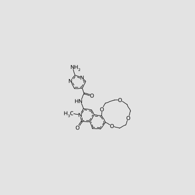 Cn1c(NC(=O)c2cnc(N)nc2)cc2c3c(ccc2c1=O)OCCOCCOCCO3